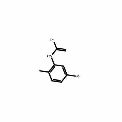 C=C(Nc1cc(C(C)C)ccc1C)C(C)C